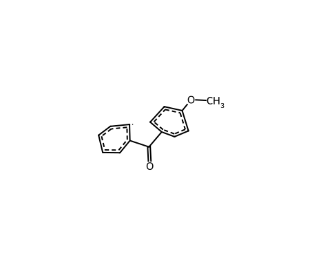 COc1ccc(C(=O)c2[c]cccc2)cc1